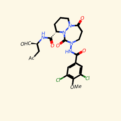 COc1c(Cl)cc(C(=O)NN2CCC(=O)N3CCC[C@@H](C(=O)N[C@H](C=O)CC(C)=O)N3C2=O)cc1Cl